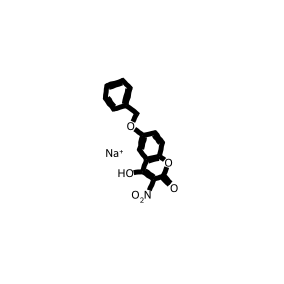 O=c1oc2ccc(OCc3ccccc3)cc2c(O)c1[N+](=O)[O-].[Na+]